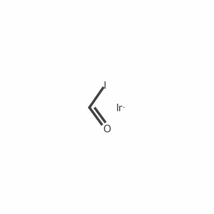 O=CI.[Ir]